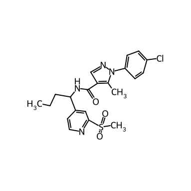 CCCC(NC(=O)c1cnn(-c2ccc(Cl)cc2)c1C)c1ccnc(S(C)(=O)=O)c1